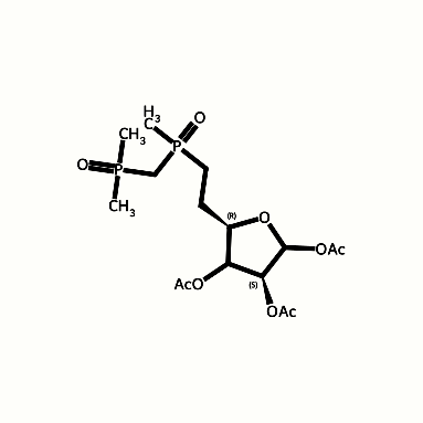 CC(=O)OC1O[C@H](CCP(C)(=O)CP(C)(C)=O)C(OC(C)=O)[C@@H]1OC(C)=O